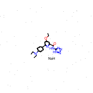 CCOc1cc(C(=O)Nc2nnn[nH]2)nc(-c2ccc(N(CC)CC)cc2)c1.[NaH]